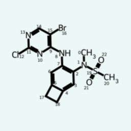 CN(c1cc2c(cc1Nc1nc(Cl)ncc1Br)CC2)S(C)(=O)=O